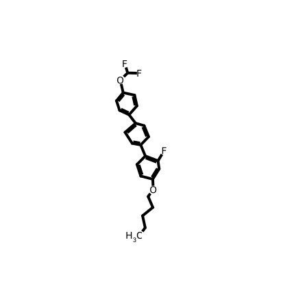 CCCCCOc1ccc(-c2ccc(-c3ccc(OC(F)F)cc3)cc2)c(F)c1